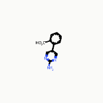 Nc1ncc(-c2ccccc2C(=O)O)cn1